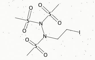 CS(=O)(=O)N(CCI)N(S(C)(=O)=O)S(C)(=O)=O